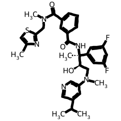 Cc1csc(CN(C)C(=O)c2cccc(C(=O)N[C@@](C)(c3cc(F)cc(F)c3)[C@H](O)CN(C)c3cncc(C(C)C)c3)c2)n1